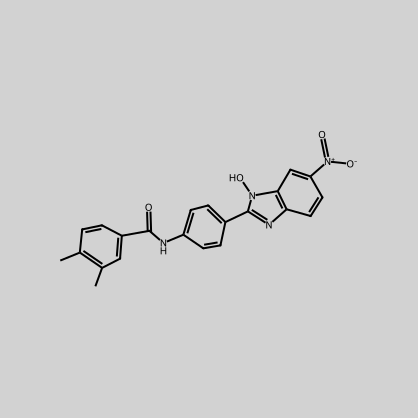 Cc1ccc(C(=O)Nc2ccc(-c3nc4ccc([N+](=O)[O-])cc4n3O)cc2)cc1C